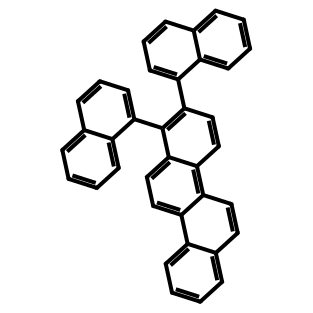 c1ccc2c(-c3ccc4c(ccc5c6ccccc6ccc45)c3-c3cccc4ccccc34)cccc2c1